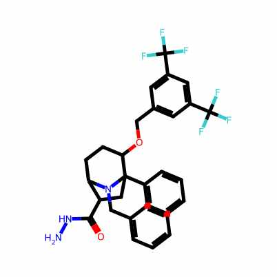 NNC(=O)C1CC2(c3ccccc3)C(OCc3cc(C(F)(F)F)cc(C(F)(F)F)c3)CCC1N2Cc1ccccc1